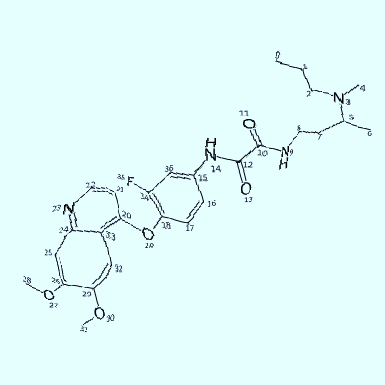 CCCN(C)C(C)CCNC(=O)C(=O)Nc1ccc(Oc2ccnc3cc(OC)c(OC)cc23)c(F)c1